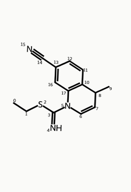 CCSC(=N)N1C=CC(C)c2ccc(C#N)cc21